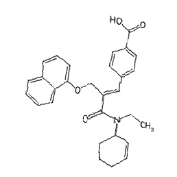 CCN(C(=O)C(=Cc1ccc(C(=O)O)cc1)COc1cccc2ccccc12)C1C=CCCC1